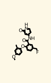 COc1ccc(Oc2ccc(CF)cc2C(=O)Nc2cc[nH]c(=O)c2)c(C)c1